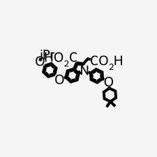 CC(C)Oc1ccc(Oc2ccc3c(c2)c(C(=O)O)c(CC(=O)O)n3-c2ccc(OC3CCC(C)(C)CC3)cc2)cc1